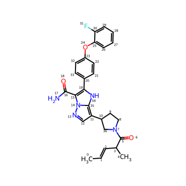 C/C=C/C(C)C(=O)N1CCC(c2cnn3c(C(N)=O)c(-c4ccc(Oc5ccccc5F)cc4)[nH]c23)C1